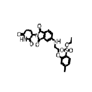 CCOS(=O)(=O)c1ccc(C)cc1OCCNc1ccc2c(c1)C(=O)N(C1CCC(=O)NC1=O)C2=O